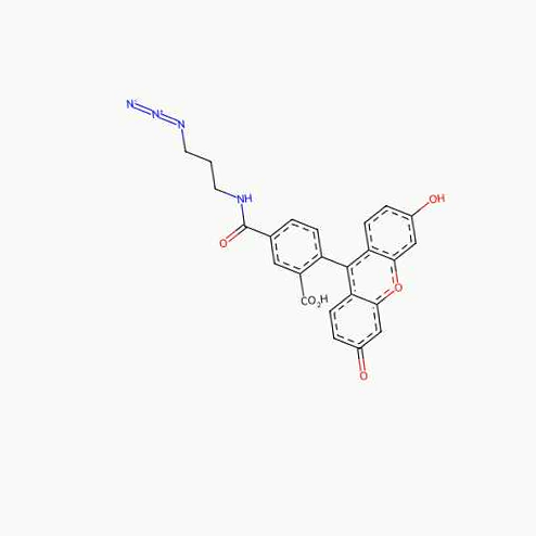 [N-]=[N+]=NCCCNC(=O)c1ccc(-c2c3ccc(=O)cc-3oc3cc(O)ccc23)c(C(=O)O)c1